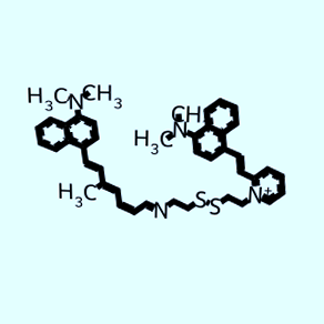 CC(/C=C/c1ccc(N(C)C)c2ccccc12)=C\C=C/C=N/CCSSCC[n+]1ccccc1/C=C/c1ccc(N(C)C)c2ccccc12